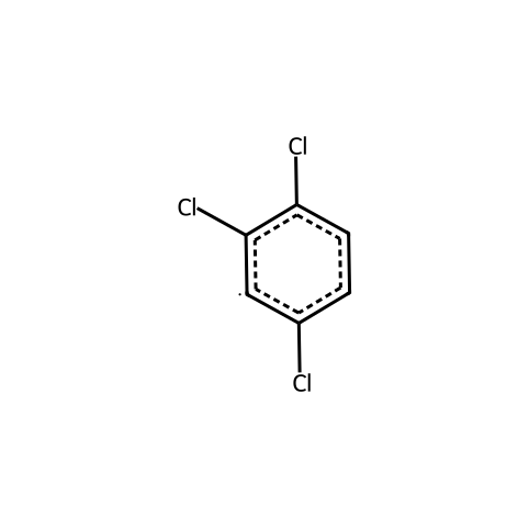 Clc1[c]c(Cl)c(Cl)cc1